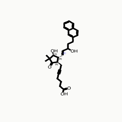 CC1(C)C(=O)[C@H](CC#CCCCC(=O)O)[C@@H](/C=C/C(O)CCc2ccc3ccccc3c2)[C@@H]1O